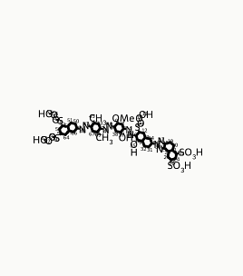 COc1cc(N=Nc2c(SOOO)cc3cc(-n4nc5ccc6c(S(=O)(=O)O)cc(S(=O)(=O)O)cc6c5n4)ccc3c2O)c(O)cc1N=Nc1cc(C)c(N=Nc2ccc3c(SOOO)cc(SOOO)cc3c2)cc1C